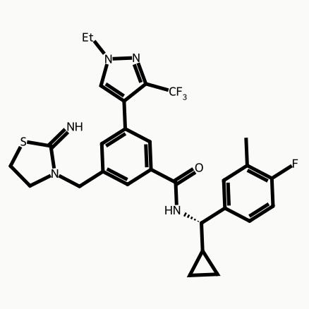 CCn1cc(-c2cc(CN3CCSC3=N)cc(C(=O)N[C@H](c3ccc(F)c(C)c3)C3CC3)c2)c(C(F)(F)F)n1